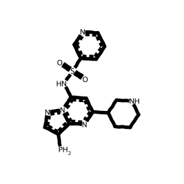 O=S(=O)(Nc1cc(C2CCCNC2)nc2c(P)cnn12)c1cccnc1